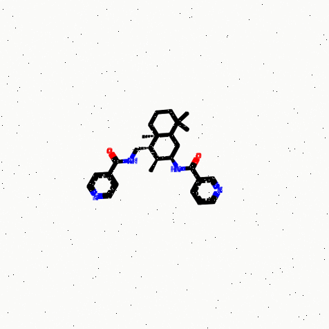 C[C@@H]1[C@H](NC(=O)c2cccnc2)CC2C(C)(C)CCC[C@]2(C)[C@H]1CNC(=O)c1ccncc1